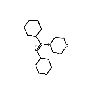 C1CCC(/N=C(/C2CCCCC2)N2CCOCC2)CC1